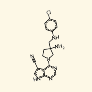 N#Cc1c[nH]c2ncnc(N3CCC(N)(CNc4ccc(Cl)cc4)C3)c12